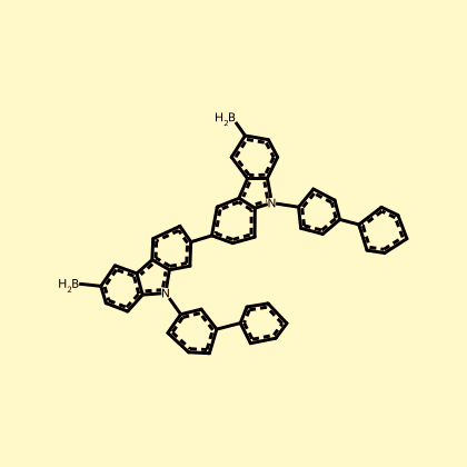 Bc1ccc2c(c1)c1cc(-c3ccc4c5cc(B)ccc5n(-c5cccc(-c6ccccc6)c5)c4c3)ccc1n2-c1ccc(-c2ccccc2)cc1